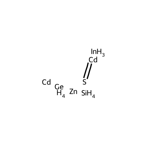 [Cd].[GeH4].[InH3].[S]=[Cd].[SiH4].[Zn]